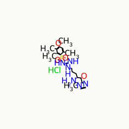 COc1cc(C)c(S(=O)(=O)NC(=N)NCCC[C@H](N)C(=O)c2nccn2C)c(C)c1C.Cl